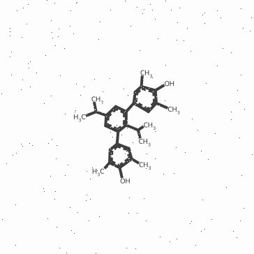 Cc1cc(-c2cc(C(C)C)cc(-c3cc(C)c(O)c(C)c3)c2C(C)C)cc(C)c1O